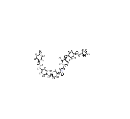 Cc1cc(/C=C/C(=O)N2CCN(Cc3ccc(CCOc4ccc(F)cc4)cc3)CC2)cc(C)c1Oc1ccc(OCc2cscn2)cn1